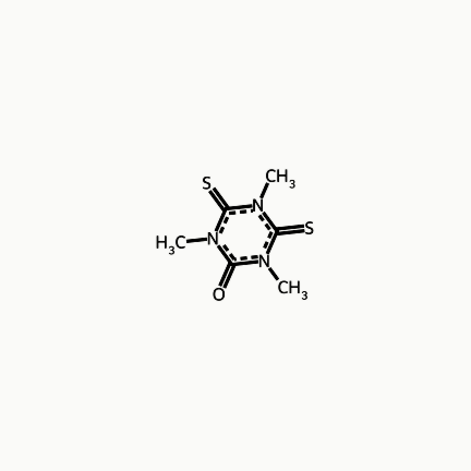 Cn1c(=O)n(C)c(=S)n(C)c1=S